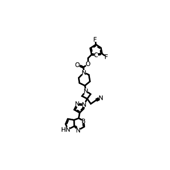 N#CCC1(n2cc(C3B=CN=C4NC=CC43)cn2)CN(C2CCN(C(=O)OCc3cc(F)cc(F)c3)CC2)C1